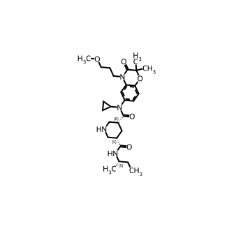 CC[C@H](C)NC(=O)[C@@H]1CNC[C@H](C(=O)N(c2ccc3c(c2)N(CCCOC)C(=O)C(C)(C)O3)C2CC2)C1